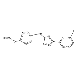 CCCCCOc1ccc(Nc2nc(-c3cccc(F)c3)cs2)cn1